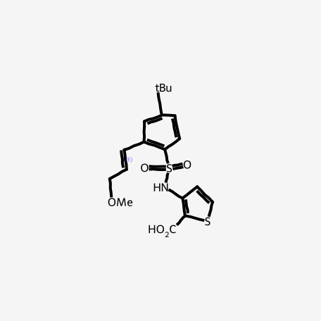 COC/C=C/c1cc(C(C)(C)C)ccc1S(=O)(=O)Nc1ccsc1C(=O)O